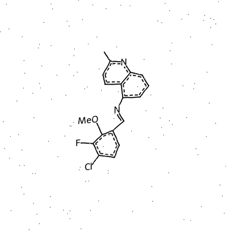 COc1c(C=Nc2cccc3nc(C)ccc23)ccc(Cl)c1F